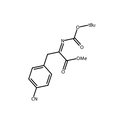 COC(=O)/C(Cc1ccc(C#N)cc1)=N\C(=O)OC(C)(C)C